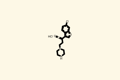 Cl.O=C=C(CCN1CCNCC1)c1csc2cc(Cl)ccc12